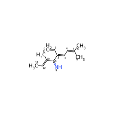 C=C/C(=C\C=C(C)C)C(=N)/C(C)=C/C